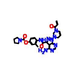 C=CC(=O)N1C=CCN(n2nc(C(=O)Nc3ccc(OC(=O)N4CCCC4)cc3C)c3c(N)ncnc32)C1